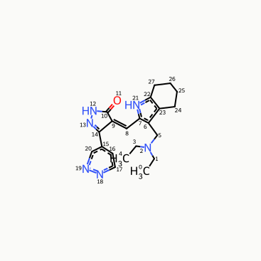 CCN(CC)Cc1c(C=C2C(=O)NN=C2c2ccnnc2)[nH]c2c1CCCC2